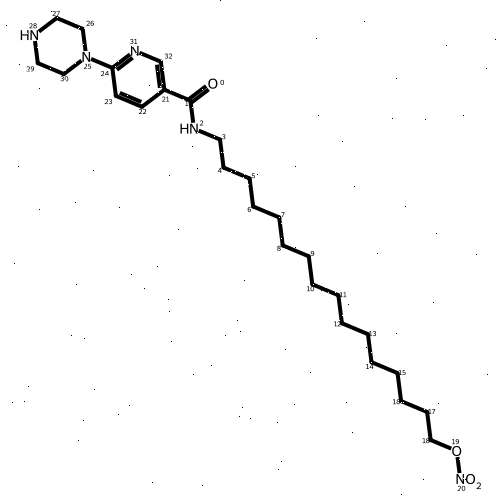 O=C(NCCCCCCCCCCCCCCCCO[N+](=O)[O-])c1ccc(N2CCNCC2)nc1